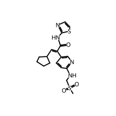 CS(=O)(=O)CNc1ccc(/C(=C\C2CCCC2)C(=O)Nc2nccs2)cn1